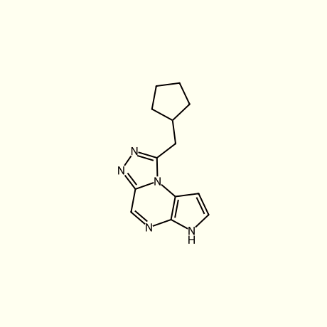 c1cc2c(ncc3nnc(CC4CCCC4)n32)[nH]1